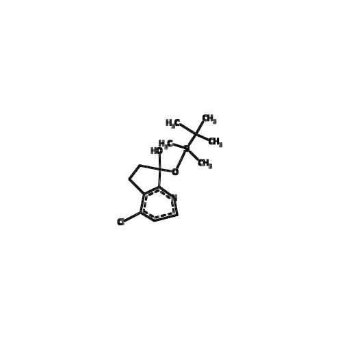 CC(C)(C)[Si](C)(C)OC1(O)CCc2c(Cl)ccnc21